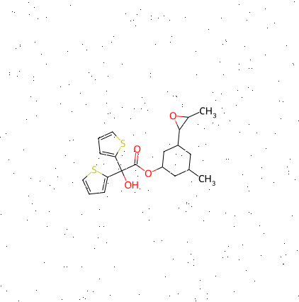 CC1CC(OC(=O)C(O)(c2cccs2)c2cccs2)CC(C2OC2C)C1